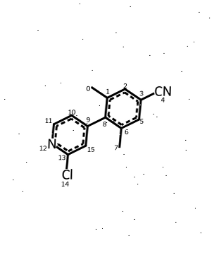 Cc1cc(C#N)cc(C)c1-c1ccnc(Cl)c1